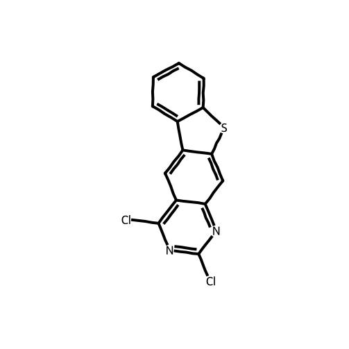 Clc1nc(Cl)c2cc3c(cc2n1)sc1ccccc13